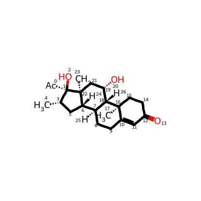 CC(=O)[C@@]1(O)[C@@H](C)C[C@H]2[C@@H]3CCC4=CC(=O)CC[C@]4(C)[C@H]3[C@@H](O)C[C@@]21C